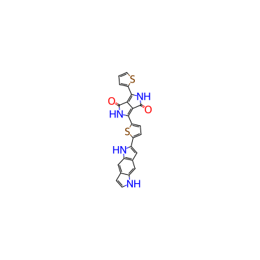 O=C1NC(c2ccc(-c3cc4cc5[nH]ccc5cc4[nH]3)s2)=C2C(=O)NC(c3cccs3)=C12